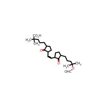 CC(C)(CCCC1CCC(/C=C\C2CCC(CCCC(C)(C)C(=O)O)C2=O)C1=O)OC=O